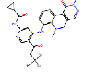 [2H]C([2H])([2H])CC(=O)c1cnc(NC(=O)C2CC2)cc1Nc1cccc2c1N(C)Cc1cnn(C)c(=O)c1-2